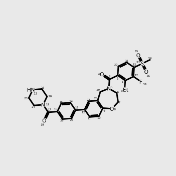 CCc1c(C(=O)N2CCOc3ccc(-c4ccc(C(=O)N5CCNCC5)cc4)cc3C2)ccc(S(C)(=O)=O)c1F